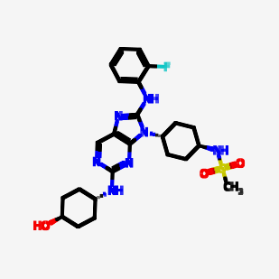 CS(=O)(=O)N[C@H]1CC[C@H](n2c(Nc3ccccc3F)nc3cnc(N[C@H]4CC[C@H](O)CC4)nc32)CC1